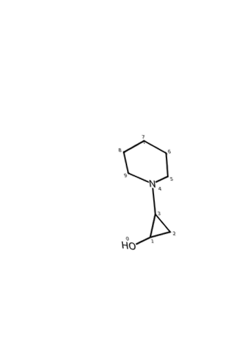 OC1CC1N1CC[CH]CC1